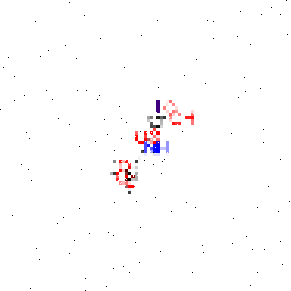 CCO[Si](CCCCNC(=O)Oc1ccc(I)c(C(=O)O)c1)(OCC)OCC